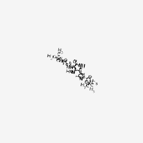 CC(C)(C)OC(=O)n1cc(-c2c[nH]c(=O)c(NCCOCC[Si](C)(C)C)c2N=N)cn1